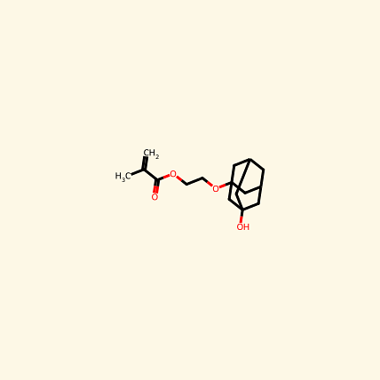 C=C(C)C(=O)OCCOC12CC3CC(CC(O)(C3)C1)C2